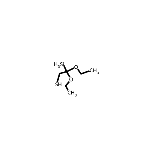 CCOC([SiH3])(CS)OCC